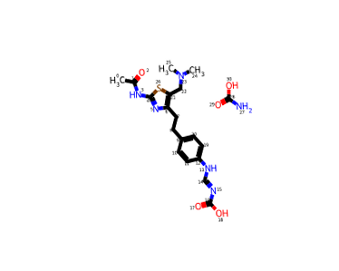 CC(=O)Nc1nc(CCc2ccc(NC=NC(=O)O)cc2)c(CN(C)C)s1.NC(=O)O